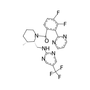 C[C@@H]1CCCN(C(=O)c2ccc(F)c(F)c2-c2ncccn2)[C@@H]1CNc1ncc(C(F)(F)F)cn1